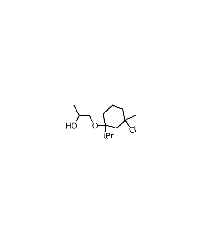 CC(O)COC1(C(C)C)CCCC(C)(Cl)C1